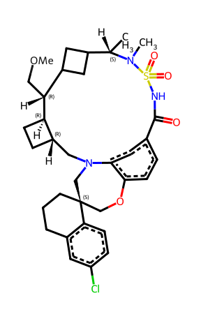 COC[C@@H]1C2CC(C2)[C@H](C)N(C)S(=O)(=O)NC(=O)c2ccc3c(c2)N(C[C@@H]2CC[C@H]21)C[C@@]1(CCCc2cc(Cl)ccc21)CO3